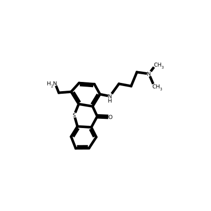 CN(C)CCCNc1ccc(CN)c2sc3ccccc3c(=O)c12